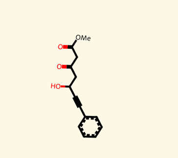 COC(=O)CC(=O)CC(O)C#Cc1ccccc1